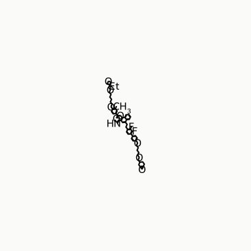 CCC1(COCCCCCCOc2ccc(C(=O)Oc3c(C=N)cc(CCc4ccc(-c5ccc(OCCCCCOCC6CCC7OC7C6)cc5)c(F)c4F)c4ccccc34)cc2C)COC1